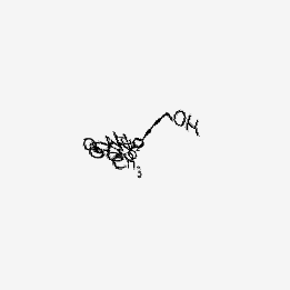 COC(=O)C(NC(=O)c1ccc(C#CC#CCCO)cc1)C1(N)CS(=O)(=O)C1